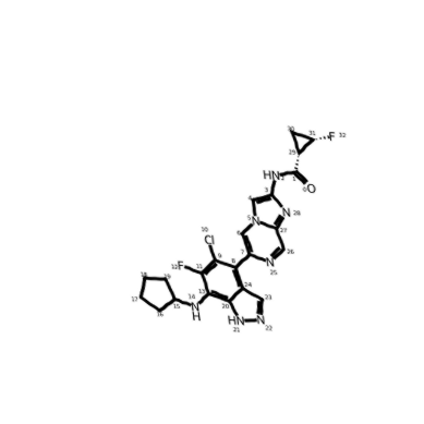 O=C(Nc1cn2cc(-c3c(Cl)c(F)c(NC4CCCC4)c4[nH]ncc34)ncc2n1)[C@@H]1C[C@@H]1F